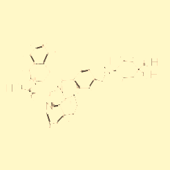 CC1(C)CCC(NCc2ccc(CN(C[C@H]3Cc4ccccc4CN3C(=O)O)[C@H]3CCCc4cccnc43)cc2)CC1